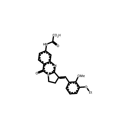 CCOc1cccc(C=C2CCn3c2nc2cc(NC(=O)C(=O)O)ccc2c3=O)c1OC